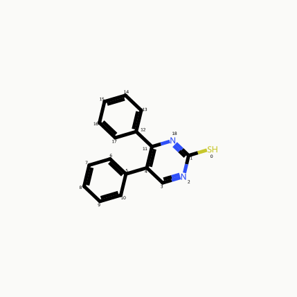 Sc1ncc(-c2ccccc2)c(-c2ccccc2)n1